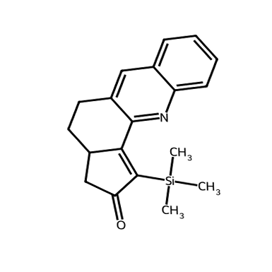 C[Si](C)(C)C1=C2c3nc4ccccc4cc3CCC2CC1=O